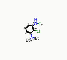 CCN(CC)c1cccc(NF)c1Cl